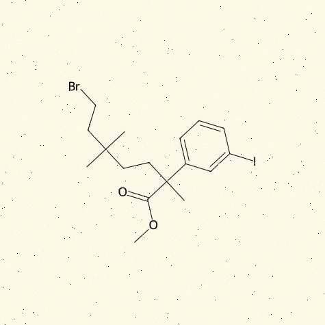 COC(=O)C(C)(CCC(C)(C)CCBr)c1cccc(I)c1